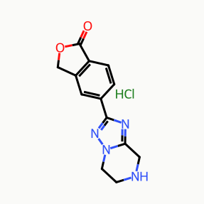 Cl.O=C1OCc2cc(-c3nc4n(n3)CCNC4)ccc21